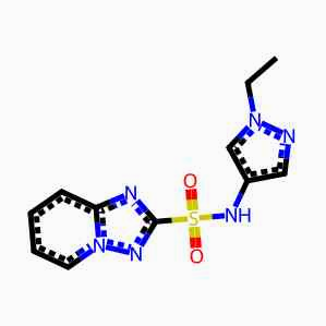 CCn1cc(NS(=O)(=O)c2nc3ccccn3n2)cn1